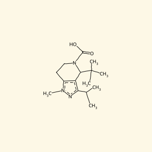 CC(C)c1nn(C)c2c1C(C(C)(C)C)N(C(=O)O)CC2